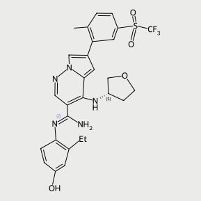 CCc1cc(O)ccc1/N=C(\N)c1cnn2cc(-c3cc(S(=O)(=O)C(F)(F)F)ccc3C)cc2c1N[C@H]1CCOC1